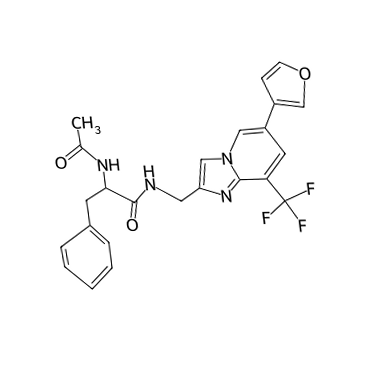 CC(=O)NC(Cc1ccccc1)C(=O)NCc1cn2cc(-c3ccoc3)cc(C(F)(F)F)c2n1